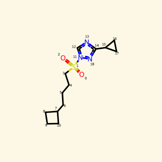 O=S(=O)(CCCCC1CCC1)n1cnc(C2CC2)n1